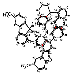 CC1C=CC2=C(C1)c1cccc(-c3cccc(N(c4ccccc4-c4ccc5c6c(oc5c4)C=CC(C)C6)c4ccccc4-c4cccc5cccc(C6CCCCC6)c45)c3)c1C2(C)C